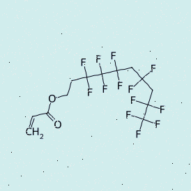 C=CC(=O)OCCC(F)(F)C(F)(F)C(F)(F)CC(F)(F)CC(F)(F)C(F)(F)F